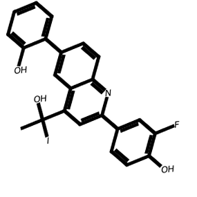 CC(O)(I)c1cc(-c2ccc(O)c(F)c2)nc2ccc(-c3ccccc3O)cc12